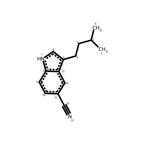 CC(C)CCc1c[nH]c2ccc(C#N)cc12